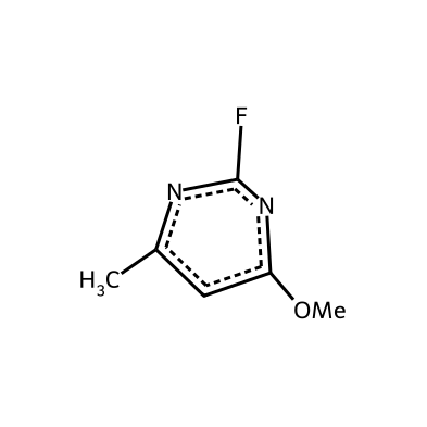 COc1cc(C)nc(F)n1